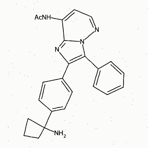 CC(=O)Nc1ccnn2c(-c3ccccc3)c(-c3ccc(C4(N)CCC4)cc3)nc12